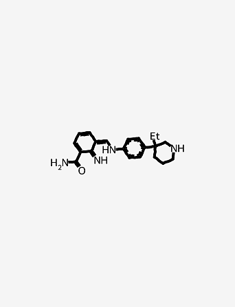 CCC1(c2ccc(N/C=C3/C=CC=C(C(N)=O)C3=N)cc2)CCCNC1